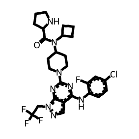 O=C(C1CCCN1)N(C1CCC1)C1CCN(c2nc(Nc3ccc(Cl)cc3F)c3cnn(CC(F)(F)F)c3n2)CC1